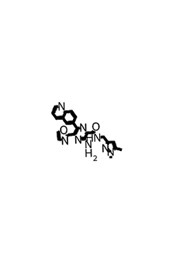 Cc1cc(CNC(=O)c2nc(-c3ccc4ncccc4c3)c(-c3ncco3)nc2N)nn1C